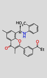 CCC(=O)c1cccc(-c2oc3c([C@@H](C)Nc4ccccc4C(=O)O)cc(C)cc3c(=O)c2C)c1